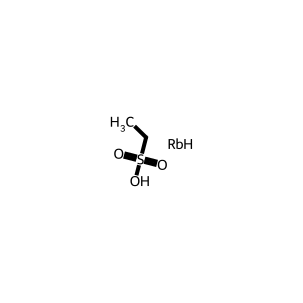 CCS(=O)(=O)O.[RbH]